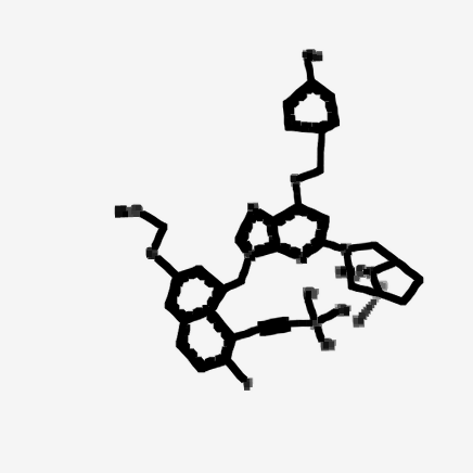 COCOc1cc(Cn2cnc3c(SCc4ccc(C(C)(C)C)cc4)cc(N4CC5CC[C@@H](C4)N5C(=O)O)nc32)c2c(C#C[Si](C(C)C)(C(C)C)C(C)C)c(F)ccc2c1